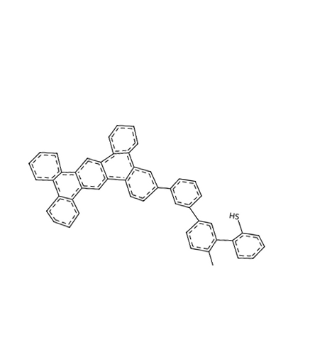 Cc1ccc(-c2cccc(-c3ccc4c(c3)c3ccccc3c3cc5c6ccccc6c6ccccc6c5cc43)c2)cc1-c1ccccc1S